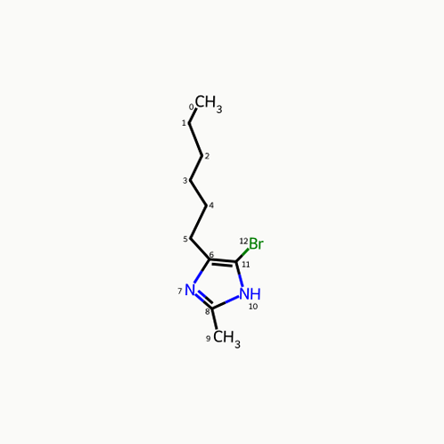 CCCCCCc1nc(C)[nH]c1Br